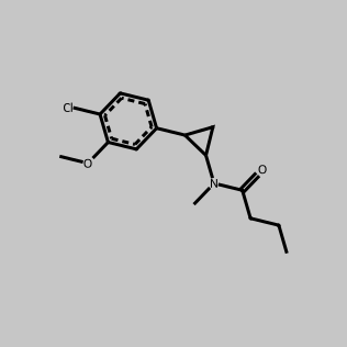 CCCC(=O)N(C)C1CC1c1ccc(Cl)c(OC)c1